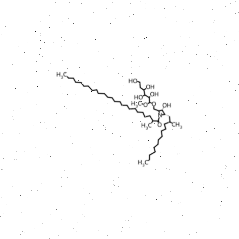 CCCCCCCCCCCCCCCCCCCCCCCC(C)C(=O)N1C(COC(OC)C(O)C(O)C(O)CCO)[C@H](O)[C@@H]1CC(C)CCCCCCCCCCC